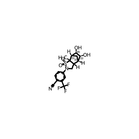 C[C@@]12[C@H]3C[C@H]([C@H](O)[C@@H]3O)[C@@H]1CN(c1ccc(C#N)c(C(F)(F)F)c1)S2(=O)=O